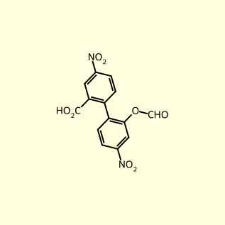 O=COc1cc([N+](=O)[O-])ccc1-c1ccc([N+](=O)[O-])cc1C(=O)O